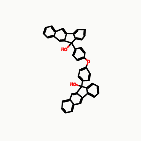 OC1(c2ccc(Oc3ccc(C4(O)c5ccccc5-c5cc6ccccc6cc54)cc3)cc2)c2ccccc2-c2cc3ccccc3cc21